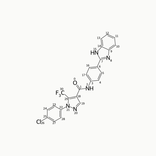 O=C(Nc1ccc(-c2nc3ccccc3[nH]2)cc1)c1cnn(-c2ccc(Cl)cc2)c1C(F)(F)F